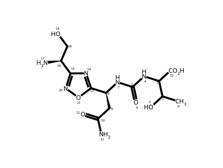 CC(O)C(NC(=O)N[C@@H](CC(N)=O)c1nc([C@@H](N)CO)no1)C(=O)O